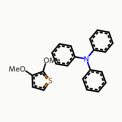 COc1ccsc1OC.c1ccc(N(c2ccccc2)c2ccccc2)cc1